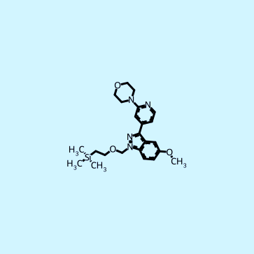 COc1ccc2c(c1)c(-c1ccnc(N3CCOCC3)c1)nn2COCC[Si](C)(C)C